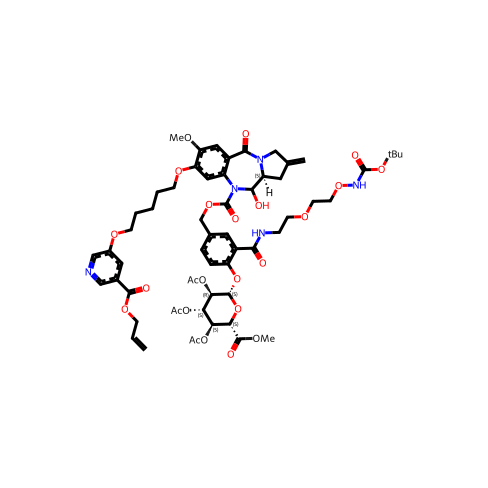 C=CCOC(=O)c1cncc(OCCCCCOc2cc3c(cc2OC)C(=O)N2CC(=C)C[C@H]2C(O)N3C(=O)OCc2ccc(O[C@@H]3O[C@H](C(=O)OC)[C@@H](OC(C)=O)[C@H](OC(C)=O)[C@H]3OC(C)=O)c(C(=O)NCCOCCONC(=O)OC(C)(C)C)c2)c1